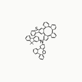 CC1(C)c2ccccc2-c2ccc(N(c3ccc4c(c3)-c3ccccc3-c3ccccc3O4)c3ccc4c5ccccc5c5ccccc5c5ccccc5c5cc6sc7ccccc7c6cc5c4c3)cc21